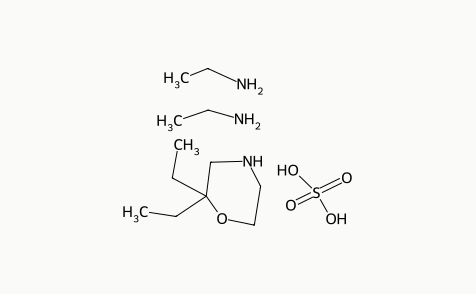 CCC1(CC)CNCCO1.CCN.CCN.O=S(=O)(O)O